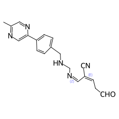 Cc1cnc(-c2ccc(CNC/N=C\C(C#N)=C/CC=O)cc2)cn1